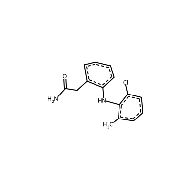 Cc1cccc(Cl)c1Nc1ccccc1CC(N)=O